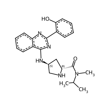 CC(C)N(C)C(=O)[C@H]1C[C@H](Nc2nc(-c3ccccc3O)nc3ccccc23)CN1